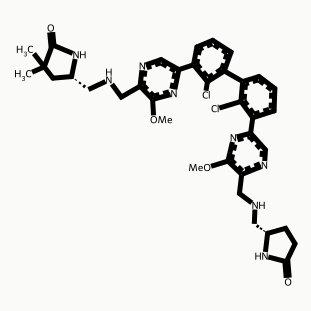 COc1nc(-c2cccc(-c3cccc(-c4cnc(CNC[C@@H]5CC(C)(C)C(=O)N5)c(OC)n4)c3Cl)c2Cl)cnc1CNC[C@@H]1CCC(=O)N1